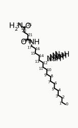 CCCCCCCCCCCCCCCCCCNC(=O)CCC(N)=O.[NaH].[NaH].[NaH].[NaH]